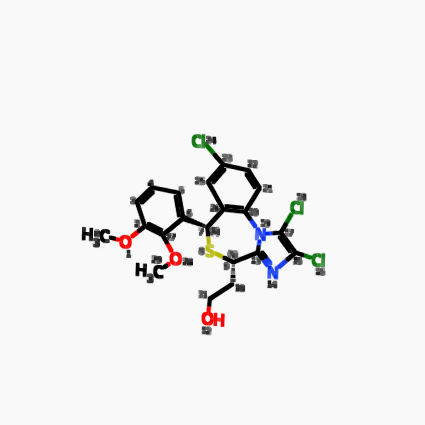 COc1cccc([C@@H]2S[C@@H](CCO)c3nc(Cl)c(Cl)n3-c3ccc(Cl)cc32)c1OC